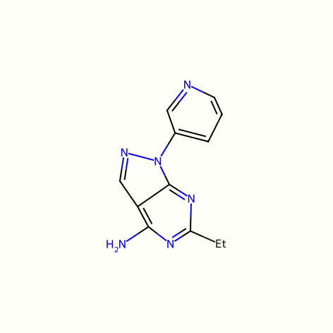 CCc1nc(N)c2cnn(-c3cccnc3)c2n1